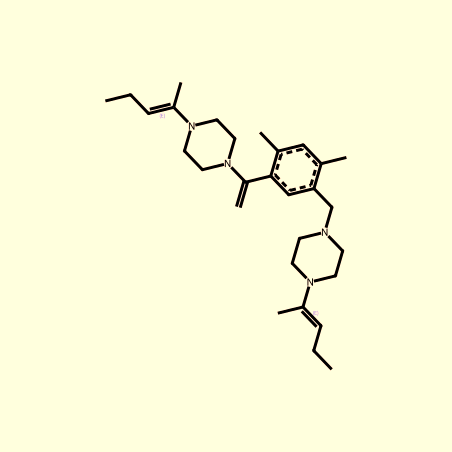 C=C(c1cc(CN2CCN(/C(C)=C/CC)CC2)c(C)cc1C)N1CCN(/C(C)=C/CC)CC1